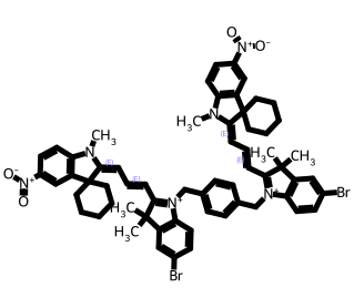 CN1/C(=C/C=C/C2=[N+](Cc3ccc(C[N+]4=C(/C=C/C=C5/N(C)c6ccc([N+](=O)[O-])cc6C56CCCCC6)C(C)(C)c5cc(Br)ccc54)cc3)c3ccc(Br)cc3C2(C)C)C2(CCCCC2)c2cc([N+](=O)[O-])ccc21